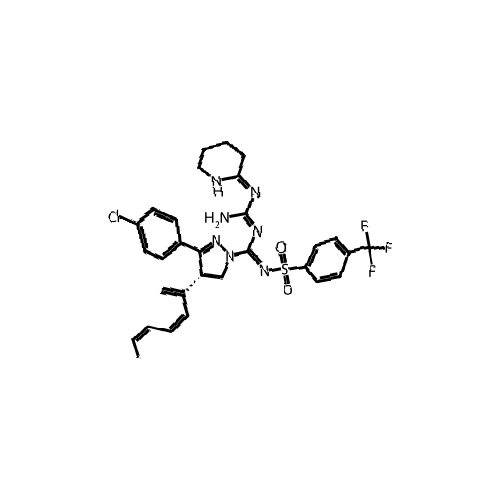 C=C(/C=C\C=C/C)[C@H]1CN(C(/N=C(N)/N=C2/CCCCN2)=N/S(=O)(=O)c2ccc(C(F)(F)F)cc2)N=C1c1ccc(Cl)cc1